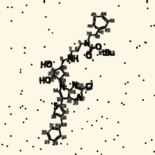 CC(C)(C)OC(=O)N(CCCNC[C@H]1C[C@@H](n2cc(-c3cc(Cc4ccccc4)cs3)c3cnc(Cl)nc32)[C@H](O)[C@@H]1O)CCc1ccccc1